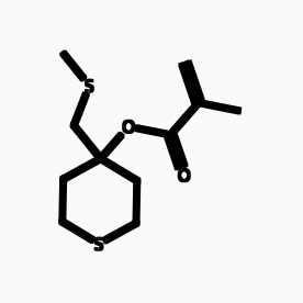 C=C(C)C(=O)OC1(CSC)CCSCC1